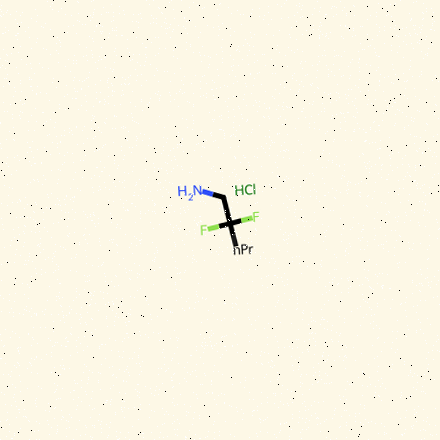 CCCC(F)(F)CN.Cl